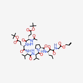 C=CCOC(=O)CNC(=O)C(=O)[C@H](CCC)NC(=O)[C@@H]1CCCN1C(=O)[C@@H](NC(=O)[C@@H](NC(=O)[C@H](CCC(=O)OC(C)(C)C)NC(=O)[C@H](CCC(=O)OC(C)(C)C)NC(C)=O)C(C)C)C(C)C